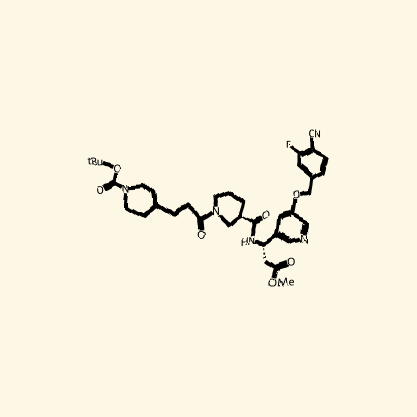 COC(=O)C[C@H](NC(=O)[C@@H]1CCCN(C(=O)CCC2CCN(C(=O)OC(C)(C)C)CC2)C1)c1cncc(OCc2ccc(C#N)c(F)c2)c1